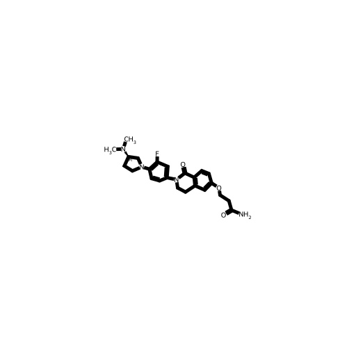 CN(C)[C@@H]1CCN(c2ccc(N3CCc4cc(OCCC(N)=O)ccc4C3=O)cc2F)C1